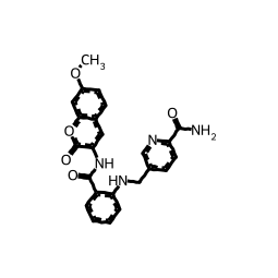 COc1ccc2cc(NC(=O)c3ccccc3NCc3ccc(C(N)=O)nc3)c(=O)oc2c1